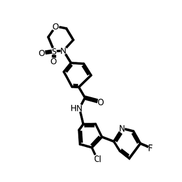 O=C(Nc1ccc(Cl)c(-c2ccc(F)cn2)c1)c1ccc(N2CCOCS2(=O)=O)cc1